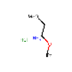 COCCOC(C)C.Cl.N